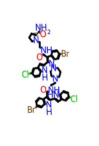 NC(=O)[C@@H]1CCCN1CCNC(=O)c1c(-c2cc3cc(Cl)ccc3[nH]2)n(N2CCCN(CCNC(=O)c3c(-c4cc5cc(Cl)ccc5[nH]4)[nH]c4cc(Br)ccc34)CC2)c2cc(Br)ccc12